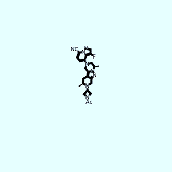 CC(=O)N1CC(N2Cc3nn4c(c3C[C@@H]2C)CN(c2ccc(C#N)n3ncc(F)c23)C[C@H]4C)C1